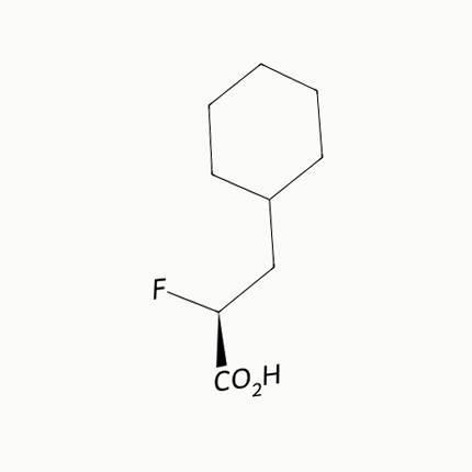 O=C(O)[C@@H](F)CC1CCCCC1